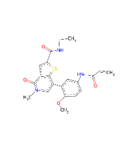 C=CC(=O)Nc1ccc(OC)c(-c2cn(C)c(=O)c3cc(C(=O)NCC)sc23)c1